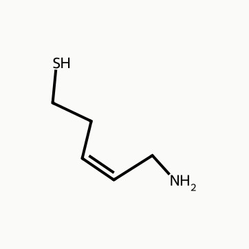 NC/C=C\CCS